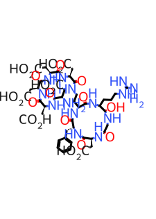 N=C(N)NCCCC1NC(=O)C(CCNC(=O)[C@H](CC(=O)O)NC(=O)[C@H](CC(=O)O)NC(=O)[C@H](CC(=O)O)NC(=O)[C@H](CC(=O)O)NC(=O)[C@@H](N)CC(=O)O)NC(=O)[C@@H](Cc2ccccc2)NC(=O)[C@H](CC(=O)O)NC(=O)CNC1O